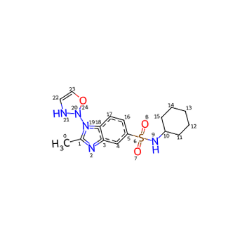 Cc1nc2cc(S(=O)(=O)NC3CCCCC3)ccc2n1N1NC=CO1